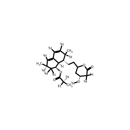 [2H]O[C@@H]1CC(CC[C@@H]2[C@@H]3C(=C([2H])[C@]([2H])(C)C([2H])([2H])[C@@H]3OC(=O)[C@@]([2H])(C)CC)C([2H])=C([2H])[C@]2([2H])C)OC(=O)C1([2H])[2H]